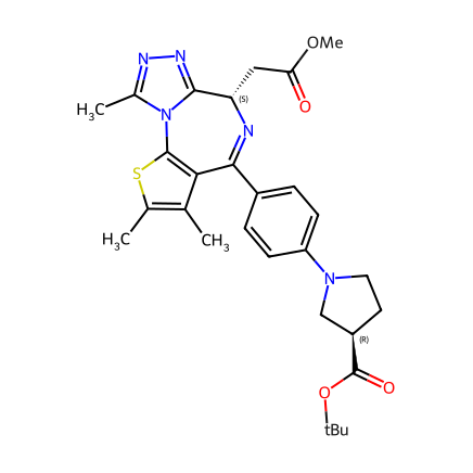 COC(=O)C[C@@H]1N=C(c2ccc(N3CC[C@@H](C(=O)OC(C)(C)C)C3)cc2)c2c(sc(C)c2C)-n2c(C)nnc21